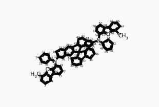 Cc1cccc2c1oc1c(N(c3ccccc3)c3ccc4cc5c(cc4c3)C3(c4ccccc4-c4ccccc43)c3c-5ccc4cc(N(c5ccccc5)c5cccc6c5oc5c(C)cccc56)ccc34)cccc12